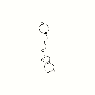 c1c(OCCCN2CCOCC2)sc2c1CCNC2